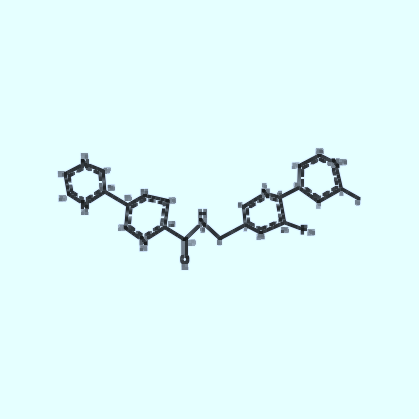 Cc1cc(-c2ncc(CNC(=O)c3ccc(-c4cnccn4)cn3)cc2F)ccn1